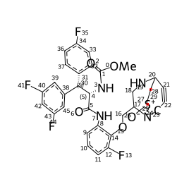 COC(=O)N[C@H](C(=O)Nc1cccc(F)c1OCC1CNC2C#CCN1[S+]([O-])CCC2)[C@@H](c1ccc(F)cc1)c1cc(F)cc(F)c1